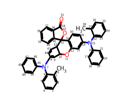 Cc1ccccc1N(C1=CC2Oc3cc(N(c4ccccc4)c4ccccc4C)ccc3C3(OC(=O)c4ccccc43)C2C=C1)c1ccccc1